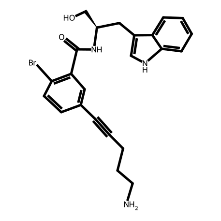 NCCCC#Cc1ccc(Br)c(C(=O)N[C@@H](CO)Cc2c[nH]c3ccccc23)c1